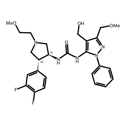 COCCN1C[C@@H](NC(=O)Nc2c(CO)c(COC)nn2-c2ccccc2)[C@H](c2ccc(F)c(F)c2)C1